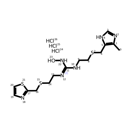 Cc1nc[nH]c1CSCCN/C(=N/CCSCc1nccs1)NO.Cl.Cl.Cl